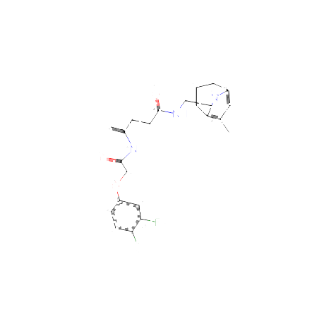 C=C(CCC(=O)NCC1NC2=CC(C)=C1CCC2)NC(=O)COc1ccc(Cl)c(F)c1